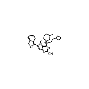 C[C@H]1CC[C@H](Cn2c(C3=C4CC=CC=C4CO3)nc3nc(C#N)nc(NCCC4CCC4)c32)CC1